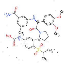 COc1ccc([C@H](Nc2cc(C)cc(C(N)=O)c2)C(=O)N2CCC[C@@H]2c2cc(NC(=O)O)ccc2S(=O)(=O)C(C)C)cc1OC